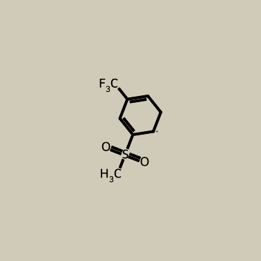 CS(=O)(=O)C1=CC(C(F)(F)F)=CC[CH]1